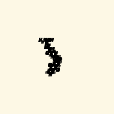 N=C(N)NCCNC(=O)C1CCN(CS(=O)(=O)c2ccc3c(c2)C(=O)c2ccccc2C3=O)CC1